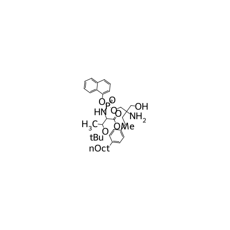 CCCCCCCCc1ccc(CCC(N)(CO)COP(=O)(NC(C(=O)OC)C(C)OC(C)(C)C)Oc2cccc3ccccc23)cc1